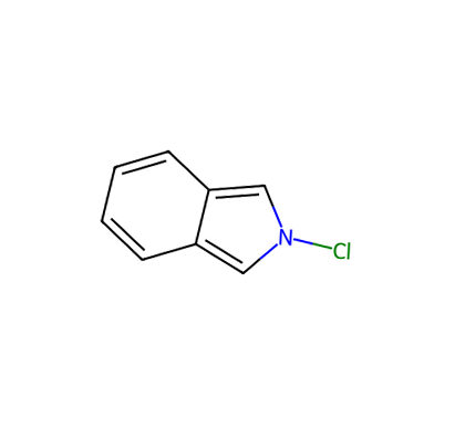 Cln1cc2ccccc2c1